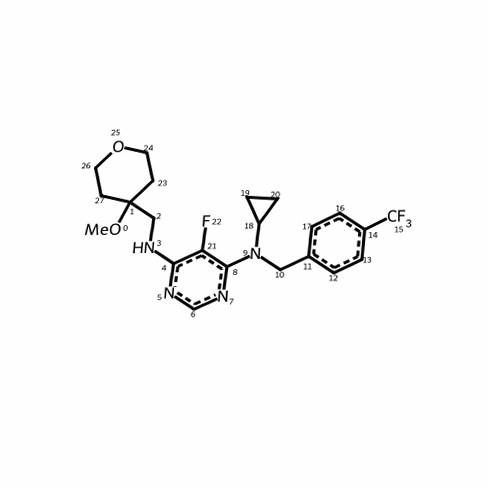 COC1(CNc2ncnc(N(Cc3ccc(C(F)(F)F)cc3)C3CC3)c2F)CCOCC1